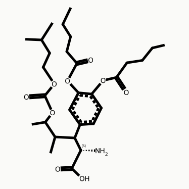 CCCCC(=O)Oc1ccc(C(C(C)C(C)OC(=O)OCCC(C)C)[C@H](N)C(=O)O)cc1OC(=O)CCCC